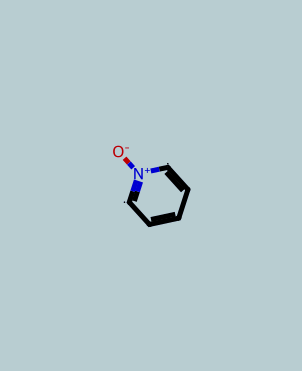 [O-][n+]1[c]ccc[c]1